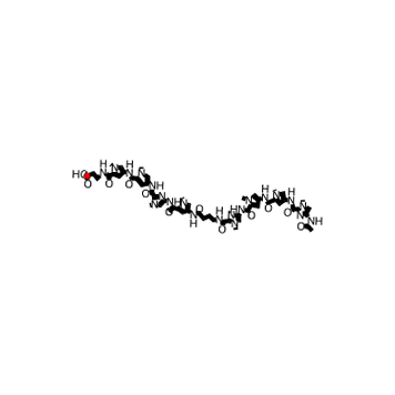 CC(=O)Nc1cn(C)c(C(=O)Nc2cc(C(=O)Nc3cc(C(=O)Nc4cn(C)c(C(=O)NCCCC(=O)Nc5cc(C(=O)Nc6cn(C)c(C(=O)Nc7cc(C(=O)Nc8cc(C(=O)NCCC(=O)O)n(C)c8)n(C)c7)n6)n(C)c5)n4)n(C)c3)n(C)c2)n1